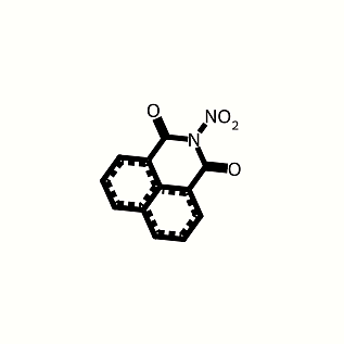 O=C1c2cccc3cccc(c23)C(=O)N1[N+](=O)[O-]